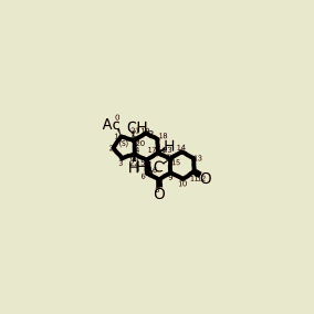 CC(=O)[C@H]1CC[C@H]2C3=CC(=O)C4CC(=O)CC[C@]4(C)[C@H]3CC[C@]12C